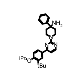 CC(C)Oc1ccc(-c2ccnc(N3CCC(N)(c4ccccc4)CC3)n2)cc1C(C)(C)C